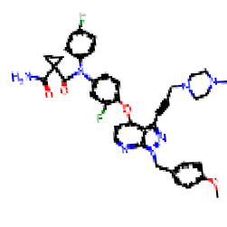 COc1ccc(Cn2nc(C#CCN3CCN(C)CC3)c3c(Oc4ccc(N(C(=O)C5(C(N)=O)CC5)c5ccc(F)cc5)cc4F)ccnc32)cc1